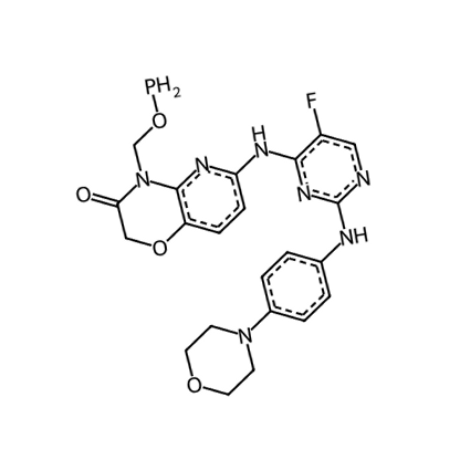 O=C1COc2ccc(Nc3nc(Nc4ccc(N5CCOCC5)cc4)ncc3F)nc2N1COP